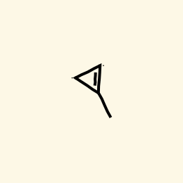 CC1=[C][CH]1